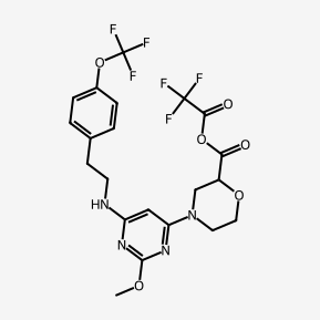 COc1nc(NCCc2ccc(OC(F)(F)F)cc2)cc(N2CCOC(C(=O)OC(=O)C(F)(F)F)C2)n1